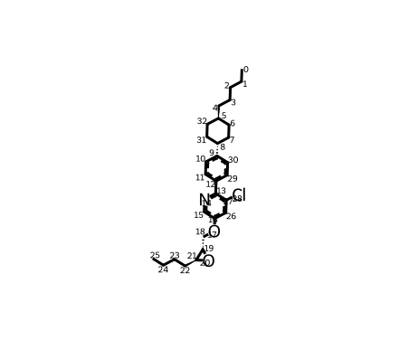 CCCCC[C@H]1CC[C@H](c2ccc(-c3ncc(OC[C@@H]4O[C@H]4CCCC)cc3Cl)cc2)CC1